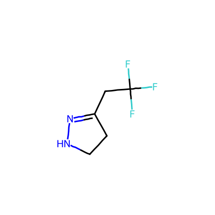 FC(F)(F)CC1=NNCC1